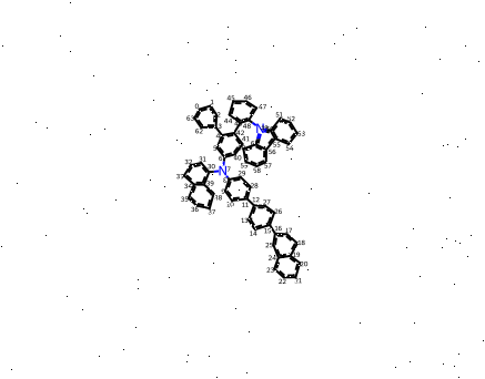 c1ccc(-c2cc(N(c3ccc(-c4ccc(-c5ccc6ccccc6c5)cc4)cc3)c3cccc4ccccc34)ccc2-c2ccccc2-n2c3ccccc3c3ccccc32)cc1